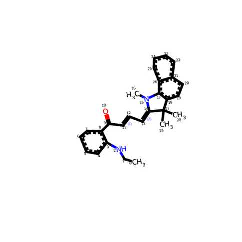 CCNc1ccccc1C(=O)/C=C/C=C1\N(C)c2c(ccc3ccccc23)C1(C)C